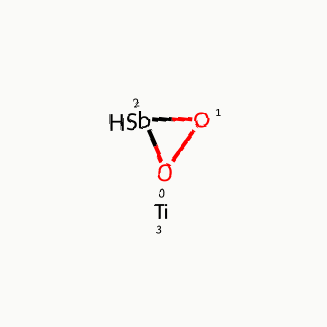 [O]1[O][SbH]1.[Ti]